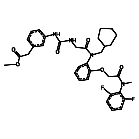 COC(=O)Cc1cccc(NC(=O)NCC(=O)N(CC2CCCCC2)c2ccccc2OCC(=O)N(C)c2c(F)cccc2F)c1